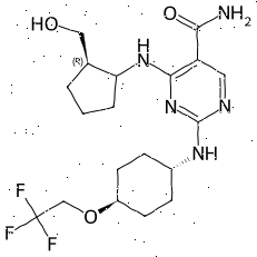 NC(=O)c1cnc(N[C@H]2CC[C@H](OCC(F)(F)F)CC2)nc1NC1CCC[C@H]1CO